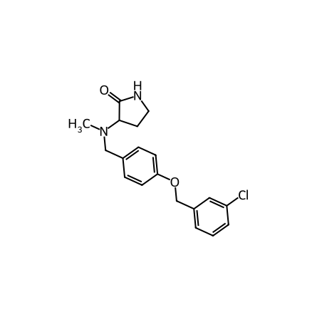 CN(Cc1ccc(OCc2cccc(Cl)c2)cc1)C1CCNC1=O